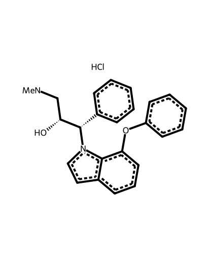 CNC[C@@H](O)[C@H](c1ccccc1)n1ccc2cccc(Oc3ccccc3)c21.Cl